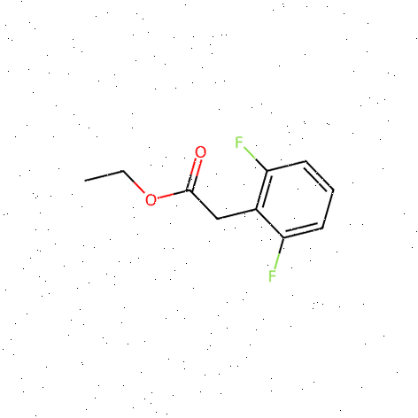 CCOC(=O)Cc1c(F)cccc1F